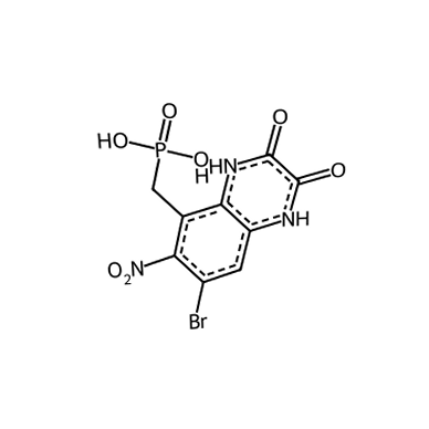 O=c1[nH]c2cc(Br)c([N+](=O)[O-])c(CP(=O)(O)O)c2[nH]c1=O